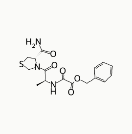 C[C@H](NC(=O)C(=O)OCc1ccccc1)C(=O)N1CSC[C@@H]1C(N)=O